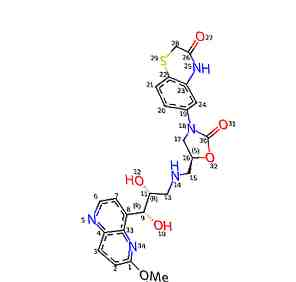 COc1ccc2nccc([C@@H](O)[C@H](O)CNC[C@H]3CN(c4ccc5c(c4)NC(=O)CS5)C(=O)O3)c2n1